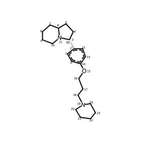 c1cc([C@H]2CCC3CCCCN32)ccc1OCCCN1CCCCC1